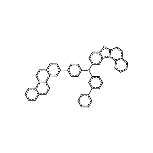 c1ccc(-c2cccc(N(c3ccc(-c4ccc5ccc6c7ccccc7ccc6c5c4)cc3)c3ccc4oc5ccc6ccccc6c5c4c3)c2)cc1